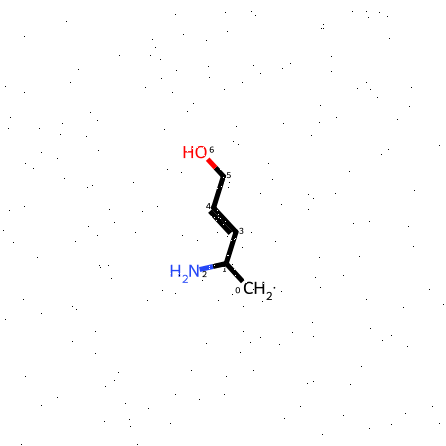 [CH2]C(N)C=CCO